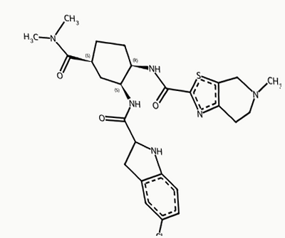 CN1CCc2nc(C(=O)N[C@@H]3CC[C@H](C(=O)N(C)C)C[C@@H]3NC(=O)C3Cc4cc(Cl)ccc4N3)sc2C1